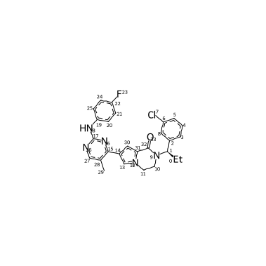 CC[C@H](c1cccc(Cl)c1)N1CCn2cc(-c3nc(Nc4ccc(F)cc4)ncc3C)cc2C1=O